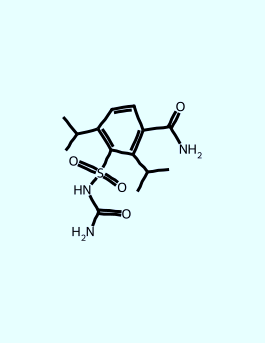 CC(C)c1ccc(C(N)=O)c(C(C)C)c1S(=O)(=O)NC(N)=O